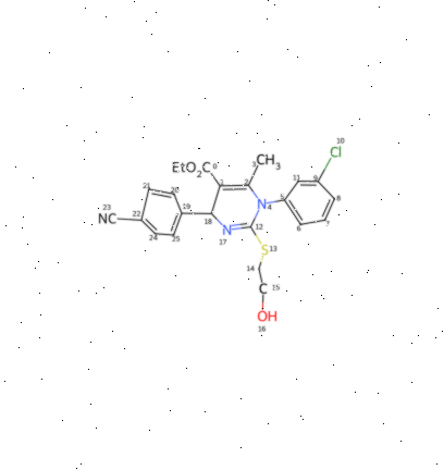 CCOC(=O)C1=C(C)N(c2cccc(Cl)c2)C(SCCO)=NC1c1ccc(C#N)cc1